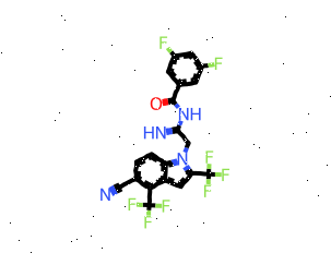 N#Cc1ccc2c(cc(C(F)(F)F)n2CC(=N)NC(=O)c2cc(F)cc(F)c2)c1C(F)(F)F